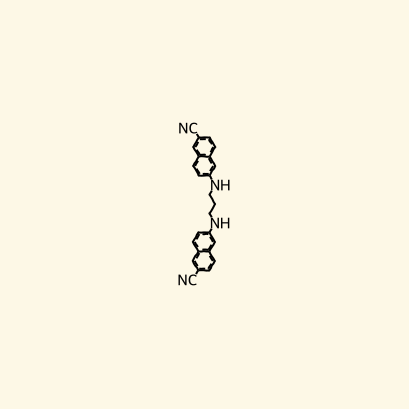 N#Cc1ccc2cc(NCCCNc3ccc4cc(C#N)ccc4c3)ccc2c1